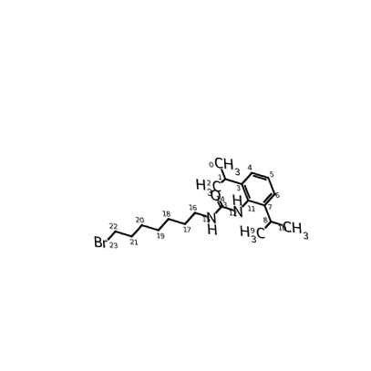 CC(C)c1cccc(C(C)C)c1NC(=O)NCCCCCCCBr